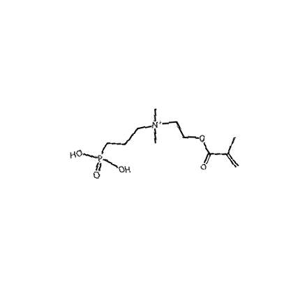 C=C(C)C(=O)OCC[N+](C)(C)CCCP(=O)(O)O